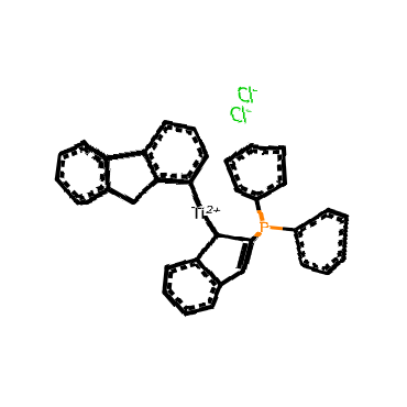 C1=C(P(c2ccccc2)c2ccccc2)[CH]([Ti+2][c]2cccc3c2Cc2ccccc2-3)c2ccccc21.[Cl-].[Cl-]